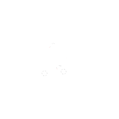 COC(=O)CCCCCCC1C(C(=CC(=O)CCCc2ccccc2)c2ccccc2)C(OC2CCCCO2)CS1(=O)=O